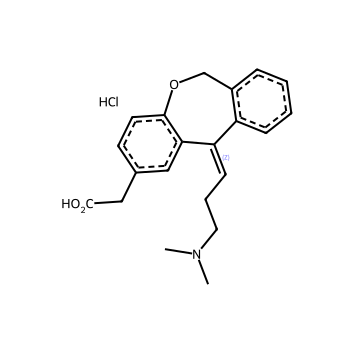 CN(C)CC/C=C1/c2ccccc2COc2ccc(CC(=O)O)cc21.Cl